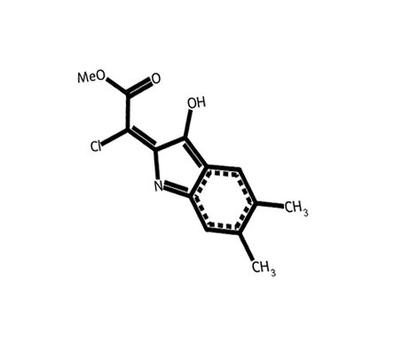 COC(=O)C(Cl)=C1N=c2cc(C)c(C)cc2=C1O